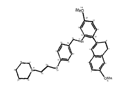 COc1ccc2c(c1)CCC(c1ccc(OC)cc1NCc1ccc(OCCN3CCCCC3)cc1)=C2